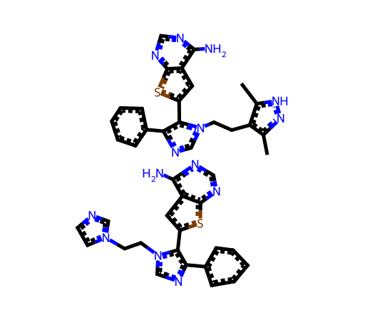 Cc1n[nH]c(C)c1CCn1cnc(-c2ccccc2)c1-c1cc2c(N)ncnc2s1.Nc1ncnc2sc(-c3c(-c4ccccc4)ncn3CCn3ccnc3)cc12